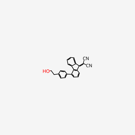 N#CC(C#N)=C1c2ccccc2-c2c1cccc2-c1ccc(CCO)cc1